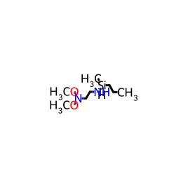 CCC[SiH](C)NCCN(OC)OC